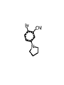 N#Cc1cc(N2CCCC2)ccc1Br